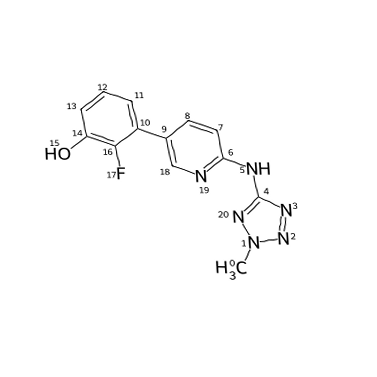 Cn1nnc(Nc2ccc(-c3cccc(O)c3F)cn2)n1